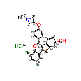 CCCN1CC(Oc2ccc(C(=O)c3c(-c4cc(F)cc(F)c4)sc4cc(O)ccc34)cc2)C1.Cl